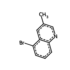 Cc1cnc2cccc(Br)c2c1